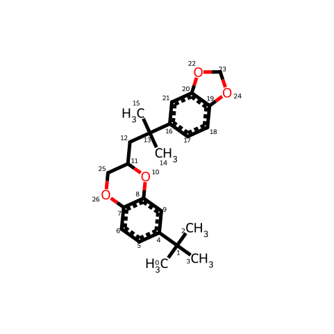 CC(C)(C)c1ccc2c(c1)OC(CC(C)(C)c1ccc3c(c1)OCO3)CO2